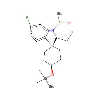 CC(C)(C)[S+]([O-])NC(CF)[C@]1(c2ccc(F)cc2)CC[C@H](O[Si](C)(C)C(C)(C)C)CC1